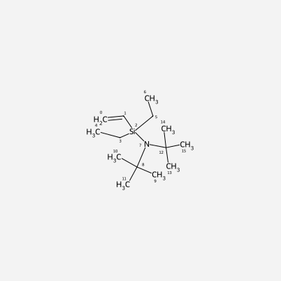 C=C[Si](CC)(CC)N(C(C)(C)C)C(C)(C)C